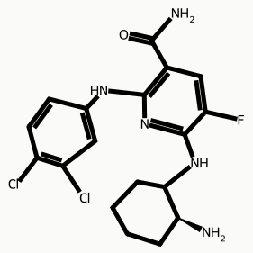 NC(=O)c1cc(F)c(NC2CCCC[C@@H]2N)nc1Nc1ccc(Cl)c(Cl)c1